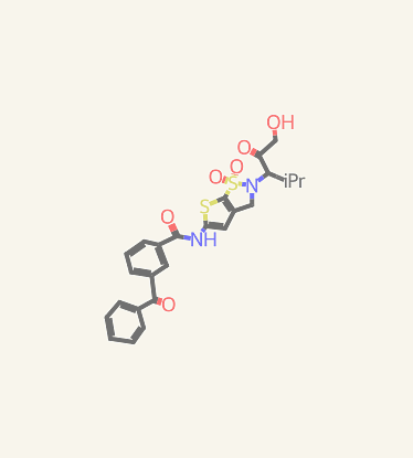 CC(C)C(C(=O)CO)N1Cc2cc(NC(=O)c3cccc(C(=O)c4ccccc4)c3)sc2S1(=O)=O